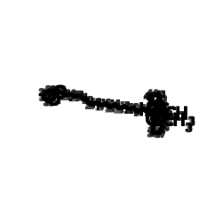 CC(C)(C)O[Si](OCCCCCCCCCCCCCC#CCCCCOC1CCCCO1)(Oc1ccccc1)Oc1ccccc1